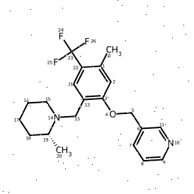 Cc1cc(OCc2cccnc2)c(CN2CCCC[C@H]2C)cc1C(F)(F)F